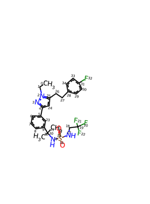 CCn1nc(-c2cccc(C(C)(C)NS(=O)(=O)NCC(F)(F)F)c2)cc1CCc1ccc(F)cc1